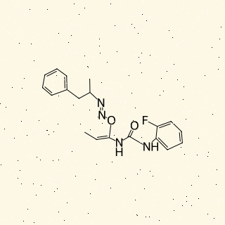 C/C=C(/NC(=O)Nc1ccccc1F)ON=NC(C)Cc1ccccc1